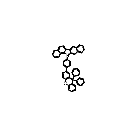 c1ccc(C2(c3ccccc3)c3ccccc3Oc3ccc(-c4ccc(-n5c6cc7ccccc7cc6c6ccc7ccccc7c65)cc4)cc32)cc1